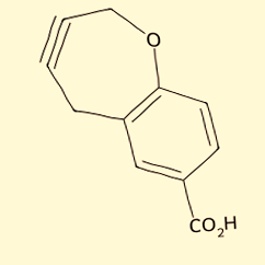 O=C(O)c1ccc2c(c1)CC#CCO2